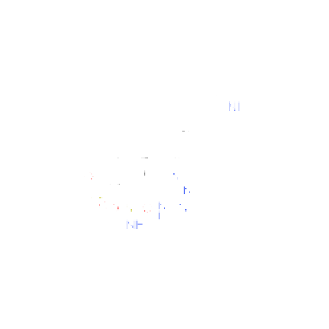 CS(=O)(=O)c1ccc(-c2ccc(C3CCNCC3)cc2)c(-c2nnn[nH]2)c1S(N)(=O)=O